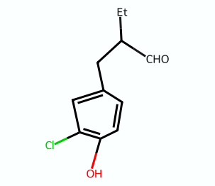 CCC(C=O)Cc1ccc(O)c(Cl)c1